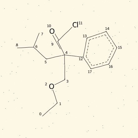 CCOCC(CC(C)C)(C(=O)Cl)c1ccccc1